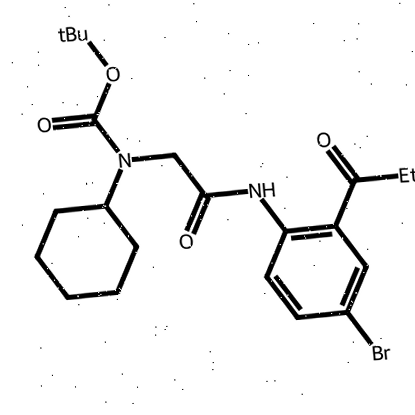 CCC(=O)c1cc(Br)ccc1NC(=O)CN(C(=O)OC(C)(C)C)C1CCCCC1